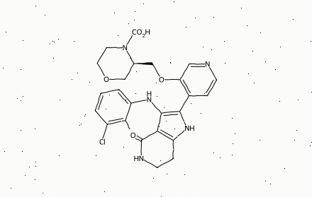 Cc1c(Cl)cccc1Nc1c(-c2ccncc2OC[C@H]2COCCN2C(=O)O)[nH]c2c1C(=O)NCC2